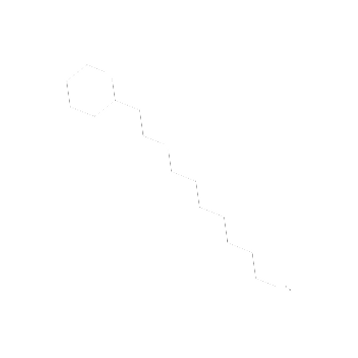 N#CCCCCCCCOCCC1CCCCO1